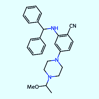 COC(C)N1CCN(c2ccc(C#N)c(NC(c3ccccc3)c3ccccc3)c2)CC1